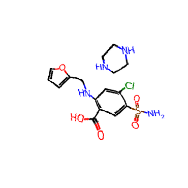 C1CNCCN1.NS(=O)(=O)c1cc(C(=O)O)c(NCc2ccco2)cc1Cl